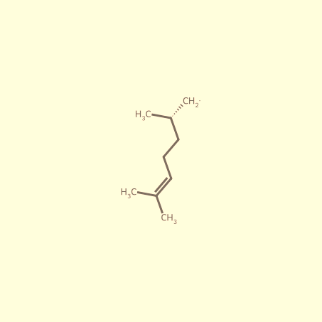 [CH2][C@@H](C)CCC=C(C)C